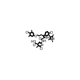 Cc1cc(OCCCc2c(C(=O)Nc3cc(C(=O)O)c(C)c(Cl)n3)[nH]c3c(-c4c(C)nn(C)c4C)c(Cl)ccc23)cc(C)c1Cl